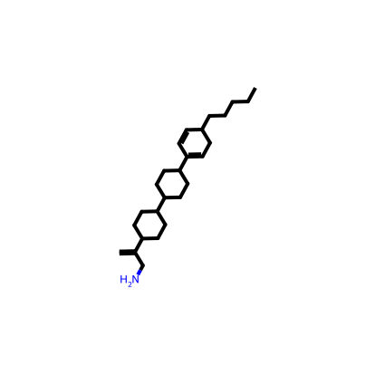 C=C(CN)C1CCC(C2CCC(C3=CCC(CCCCC)C=C3)CC2)CC1